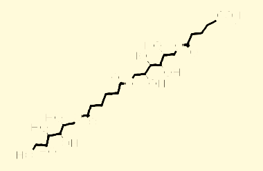 O=C(O)CCCCC(=O)OC[C@@H](O)[C@@H](O)[C@H](O)[C@@H](O)COC(=O)CCCCC(=O)OC[C@@H](O)[C@@H](O)[C@H](O)[C@@H](O)CO